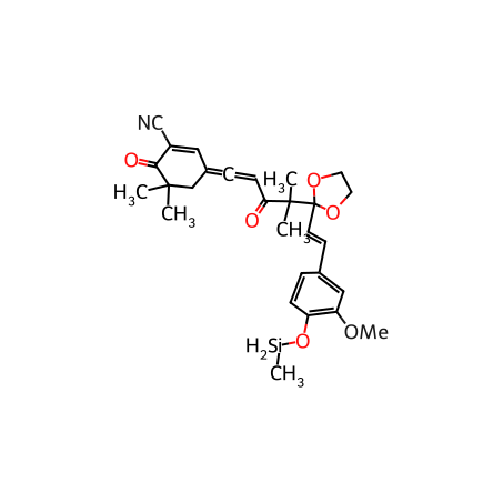 COc1cc(/C=C/C2(C(C)(C)C(=O)C=C=C3C=C(C#N)C(=O)C(C)(C)C3)OCCO2)ccc1O[SiH2]C